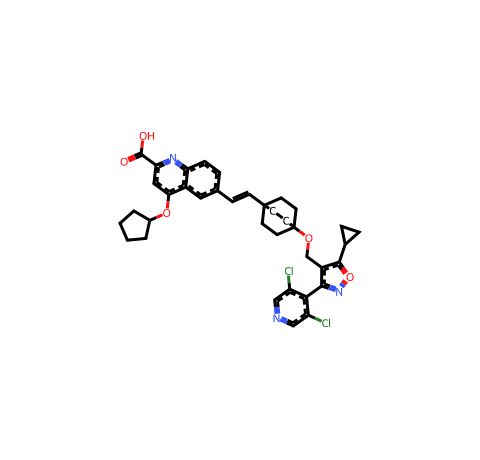 O=C(O)c1cc(OC2CCCC2)c2cc(/C=C/C34CCC(OCc5c(-c6c(Cl)cncc6Cl)noc5C5CC5)(CC3)CC4)ccc2n1